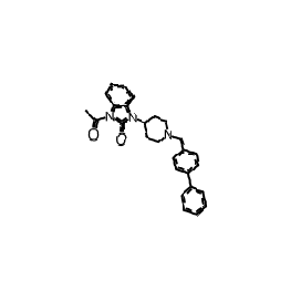 CC(=O)n1c(=O)n(C2CCN(Cc3ccc(-c4ccccc4)cc3)CC2)c2ccccc21